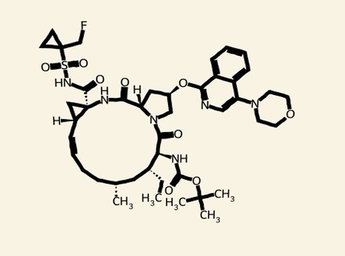 CC[C@@H]1C[C@H](C)CC/C=C\[C@@H]2C[C@@]2(C(=O)NS(=O)(=O)C2(CF)CC2)NC(=O)[C@@H]2C[C@@H](Oc3ncc(N4CCOCC4)c4ccccc34)CN2C(=O)[C@H]1NC(=O)OC(C)(C)C